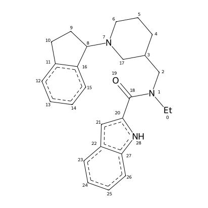 CCN(CC1CCCN(C2CCc3ccccc32)C1)C(=O)c1cc2ccccc2[nH]1